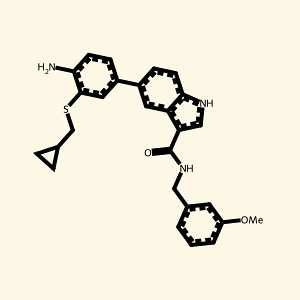 COc1cccc(CNC(=O)c2c[nH]c3ccc(-c4ccc(N)c(SCC5CC5)c4)cc23)c1